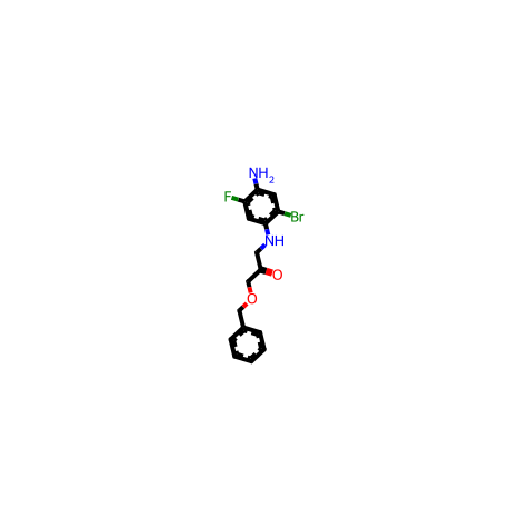 Nc1cc(Br)c(NCC(=O)COCc2ccccc2)cc1F